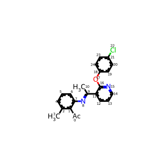 CC(=O)c1c(C)cccc1/N=C(\C)c1cccnc1Oc1ccc(Cl)cc1